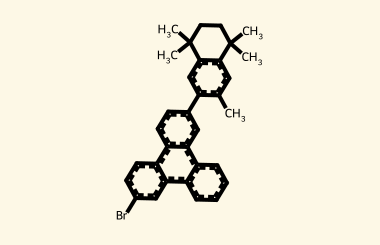 Cc1cc2c(cc1-c1ccc3c4ccc(Br)cc4c4ccccc4c3c1)C(C)(C)CCC2(C)C